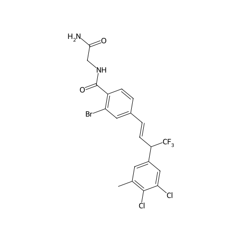 Cc1cc(C(/C=C/c2ccc(C(=O)NCC(N)=O)c(Br)c2)C(F)(F)F)cc(Cl)c1Cl